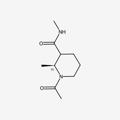 CNC(=O)C1CCCN(C(C)=O)[C@H]1C